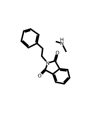 CNC.O=C1c2ccccc2C(=O)N1CCc1ccccc1